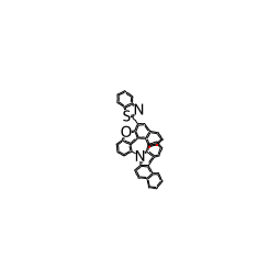 c1ccc2c(c1)cc(-c1nc3ccccc3s1)c1oc3cccc(-n4c5ccccc5c5c6ccccc6ccc54)c3c12